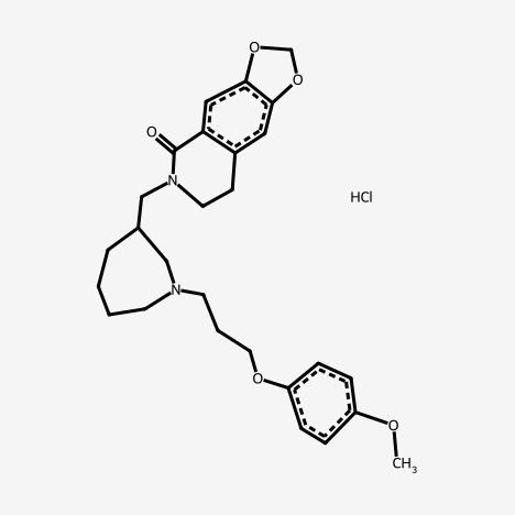 COc1ccc(OCCCN2CCCCC(CN3CCc4cc5c(cc4C3=O)OCO5)C2)cc1.Cl